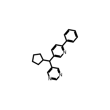 c1ccc(-c2ccc(C(c3cncnc3)C3CCCC3)cn2)cc1